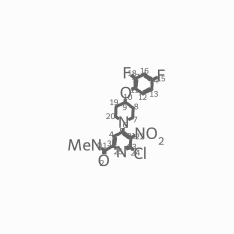 CNC(=O)c1cc(N2CCC(Oc3ccc(F)cc3F)CC2)c([N+](=O)[O-])c(Cl)n1